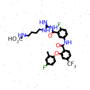 Cc1cc(F)ccc1Oc1cc(C(F)(F)F)ccc1C(=O)Nc1ccc(F)c(C(=O)NC(=N)NCCCCNC(=O)O)c1